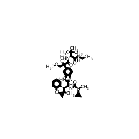 CCNC(=O)[C@H](NC(=O)C(C)(COC)c1ccc2nc([C@@H](NC(=O)N(C)C3CC3)[C@H](c3ccccc3Cl)C3(C)CC3)[nH]c2c1)C(C)(C)C